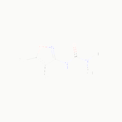 CC(C)c1c(NC(=O)N(C)C)noc1C(F)(F)F